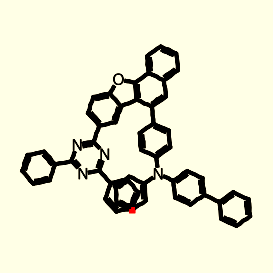 c1ccc(-c2ccc(N(c3ccccc3)c3ccc(-c4cc5ccccc5c5oc6ccc(-c7nc(-c8ccccc8)nc(-c8ccccc8)n7)cc6c45)cc3)cc2)cc1